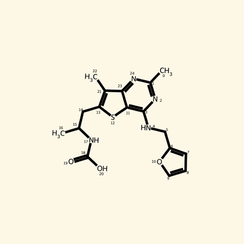 Cc1nc(NCc2ccco2)c2sc(CC(C)NC(=O)O)c(C)c2n1